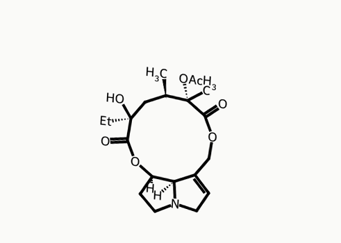 CC[C@]1(O)C[C@@H](C)[C@](C)(OC(C)=O)C(=O)OCC2=CCN3CC[C@@H](OC1=O)[C@@H]23